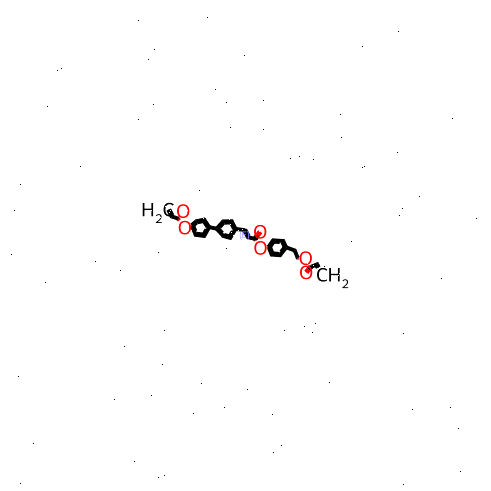 C=CC(=O)OCCc1ccc(OC(=O)/C=C/c2ccc(-c3ccc(OC(=O)C=C)cc3)cc2)cc1